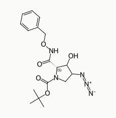 CC(C)(C)OC(=O)N1CC(N=[N+]=[N-])C(O)[C@H]1C(=O)NOCc1ccccc1